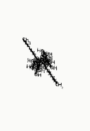 CCCCCCCCCCCCCCCCCO[C@H]([C@@H](OCCCCCCCCCCCCCCCCC)[C@H](CO[C@H](O)/C(O)=C(\O)[C@H](O)CCO)O[C@H](O)/C(O)=C(/O)[C@H](O)CCO)[C@H](CO[C@H](O)/C(O)=C(/O)[C@H](O)CCO)O[C@@H]1OC(CO)[C@@H](O)C(O)C1O